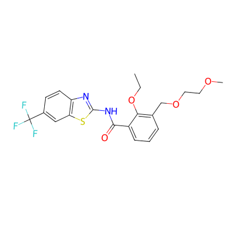 CCOc1c(COCCOC)cccc1C(=O)Nc1nc2ccc(C(F)(F)F)cc2s1